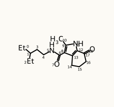 CCC(CC)CCNC(=O)c1c(C)[nH]c2c1CCCC2=O